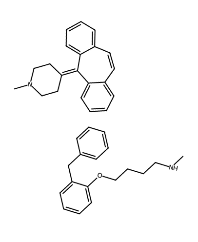 CN1CCC(=C2c3ccccc3C=Cc3ccccc32)CC1.CNCCCCOc1ccccc1Cc1ccccc1